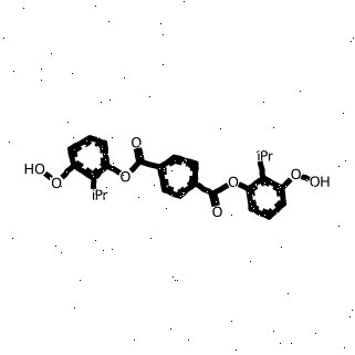 CC(C)c1c(OO)cccc1OC(=O)c1ccc(C(=O)Oc2cccc(OO)c2C(C)C)cc1